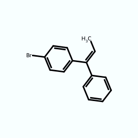 C/C=C(/c1ccccc1)c1ccc(Br)cc1